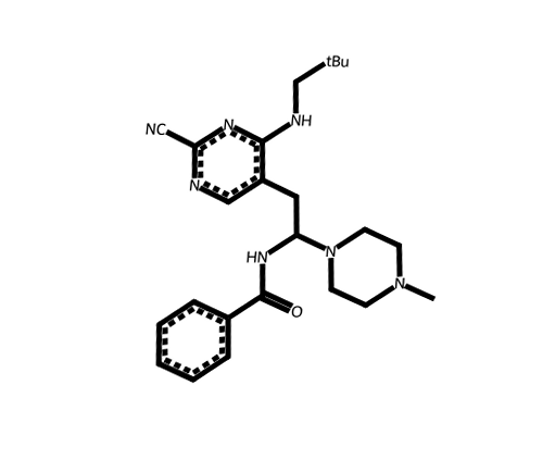 CN1CCN(C(Cc2cnc(C#N)nc2NCC(C)(C)C)NC(=O)c2ccccc2)CC1